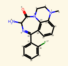 CN1CCN2C(=O)C(N)N=C(c3ccccc3F)c3cccc1c32